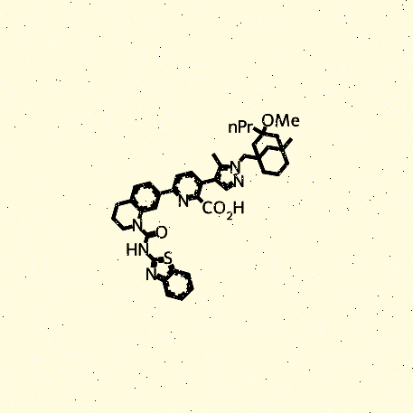 CCCC1(OC)CC2(C)CCCC(Cn3ncc(-c4ccc(-c5ccc6c(c5)N(C(=O)Nc5nc7ccccc7s5)CCC6)nc4C(=O)O)c3C)(C2)C1